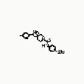 Cc1ccc(C2=NOC3(CCN(C(=S)Nc4ccc(C(C)(C)C)cc4)CC3)C2)cc1